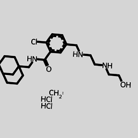 Cl.Cl.O=C(NCC12CCCC(CCC1)C2)c1cc(CNCCNCCO)ccc1Cl.[CH2]